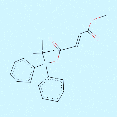 COC(=O)C=CC(=O)O[Si](c1ccccc1)(c1ccccc1)C(C)(C)C